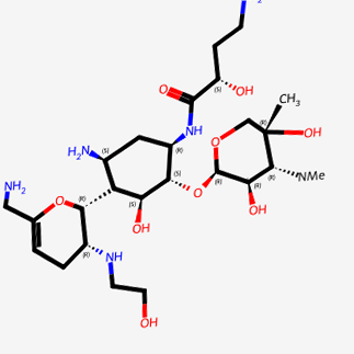 CN[C@@H]1[C@@H](O)[C@@H](O[C@H]2[C@H](NC(=O)[C@@H](O)CCN)C[C@H](N)C([C@H]3OC(CN)=CC[C@H]3NCCO)[C@@H]2O)OC[C@]1(C)O